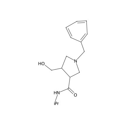 CC(C)NC(=O)C1CN(Cc2ccccc2)CC1CO